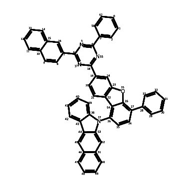 c1ccc(-c2nc(-c3ccc4ccccc4c3)nc(-c3ccc4c(c3)oc3c(-c5ccccc5)ccc(-n5c6ccccc6c6cc7ccccc7cc65)c34)n2)cc1